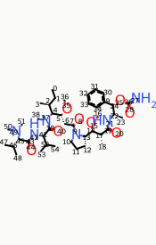 CC[C@H](C)[C@@H]([C@@H](CC(=O)N1CCC[C@H]1[C@H](OC)[C@@H](C)C(=O)N[C@H](C)[C@@H](OC(N)=O)c1ccccc1)OC)N(C)C(=O)[C@@H](NC(=O)[C@H](C(C)C)N(C)C)C(C)C